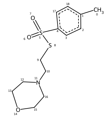 Cc1ccc(S(=O)(=O)SCCN2CCOCC2)cc1